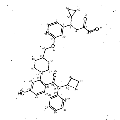 O=NC(=O)CC(c1ccnc(OCC2CCN(c3cc(O)ccc3C(=O)N(c3ccccn3)C3CCC3)CC2)c1)C1CC1